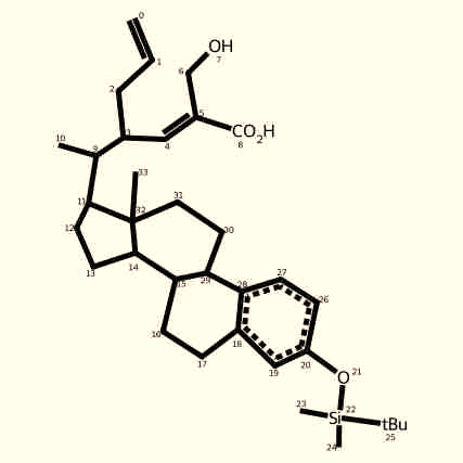 C=CCC(C=C(CO)C(=O)O)C(C)C1CCC2C3CCc4cc(O[Si](C)(C)C(C)(C)C)ccc4C3CCC12C